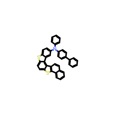 c1ccc(-c2ccc(N(c3ccccc3)c3ccc4sc5ccc6sc7c8ccccc8ccc7c6c5c4c3)cc2)cc1